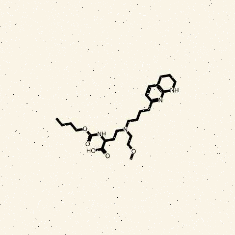 CCCCOC(=O)NC(CCN(CCCCc1ccc2c(n1)NCCC2)CCOC)C(=O)O